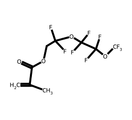 C=C(C)C(=O)OCC(F)(F)OC(F)(F)C(F)(F)OC(F)(F)F